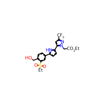 CCOC(=O)Cn1nc(C(F)(F)F)cc1-c1ccc(-c2ccc(CO)c(S(=O)(=O)CC)c2)[nH]1